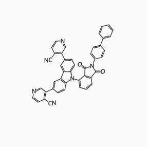 N#Cc1ccncc1-c1ccc2c(c1)c1cc(-c3cnccc3C#N)ccc1n2-c1cccc2c1C(=O)N(c1ccc(-c3ccccc3)cc1)C2=O